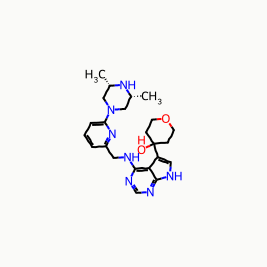 C[C@@H]1CN(c2cccc(CNc3ncnc4[nH]cc(C5(O)CCOCC5)c34)n2)C[C@H](C)N1